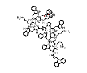 NCCCC[C@@H](NC(=O)[C@@H](Cc1c[nH]c2ccccc12)NC(=O)[C@@H](CCCCN)NC(=O)[C@@H](Cc1c[nH]c2ccccc12)NC(=O)CNC(=O)[C@@H]1CCCN1C(=O)[C@@H](Cc1c[nH]c2ccccc12)NC(=O)[C@@H](CCCCN)NC(=O)[C@@H](Cc1c[nH]c2ccccc12)NC(=O)[C@@H](CCCCN)NC(=O)[C@@H](Cc1c[nH]c2ccccc12)NC(=O)OCC1c2ccccc2-c2ccccc21)C(=O)N[C@H](Cc1c[nH]c2ccccc12)C(=O)O